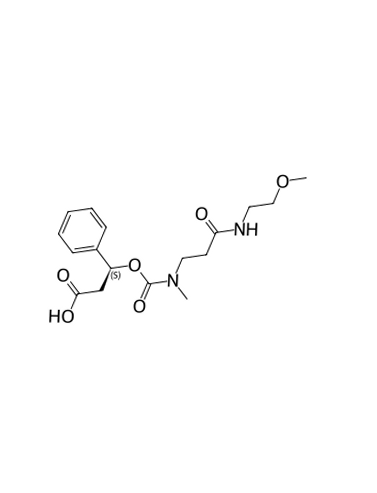 COCCNC(=O)CCN(C)C(=O)O[C@@H](CC(=O)O)c1ccccc1